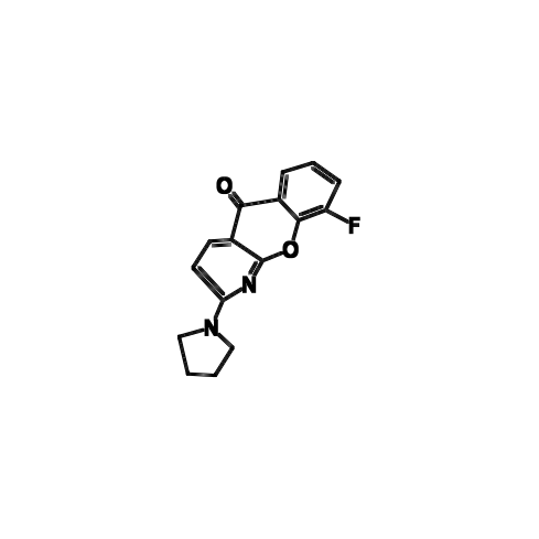 O=c1c2ccc(N3CCCC3)nc2oc2c(F)cccc12